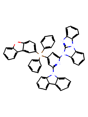 c1ccc(S(c2ccccc2)(c2cc(-n3c4ccccc4c4ccccc43)nc(-n3c4ccccc4n4c5ccccc5nc34)c2)c2ccc3oc4ccccc4c3c2)cc1